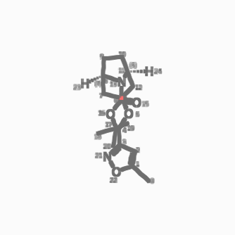 Cc1cc(CO[C@H]2C[C@H]3CC[C@@H](C2)N3C(=O)OC(C)(C)C)no1